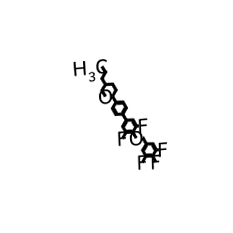 CCCC1CCC(c2ccc(-c3cc(F)c(OCc4cc(F)c(F)c(F)c4)c(F)c3)cc2)OC1